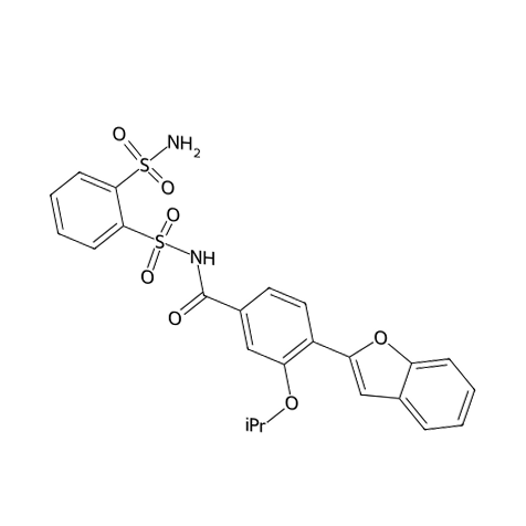 CC(C)Oc1cc(C(=O)NS(=O)(=O)c2ccccc2S(N)(=O)=O)ccc1-c1cc2ccccc2o1